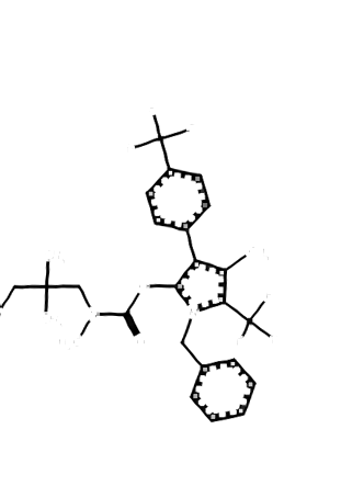 Cc1c(-c2ccc(C(F)(F)F)cc2)c(OC(=O)N(C)CC(C)(C)CO)n(Cc2ccccc2)c1C(F)(F)F